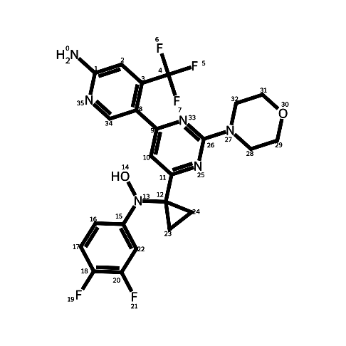 Nc1cc(C(F)(F)F)c(-c2cc(C3(N(O)c4ccc(F)c(F)c4)CC3)nc(N3CCOCC3)n2)cn1